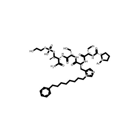 CC(=O)N1CCC[C@H]1C(=O)N[C@@H](CC(C)C)C(=O)N[C@@H](Cc1cncn1CCCCCCCCc1ccccc1)C(=O)N[C@@H](CO)C(=O)N[C@H](C(N)=O)[C@@H](C)OP(=O)(O)OCCO